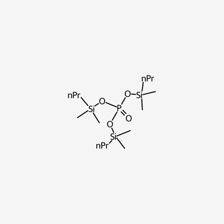 CCC[Si](C)(C)OP(=O)(O[Si](C)(C)CCC)O[Si](C)(C)CCC